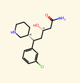 NC(=O)C[C@@H](O)CC(c1cccc(Cl)c1)[C@H]1CCCNC1